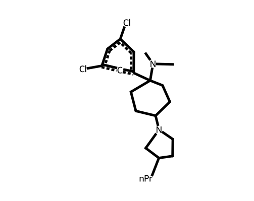 CCCC1CCN(C2CCC(c3cc(Cl)cc(Cl)c3)(N(C)C)CC2)C1